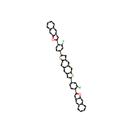 Fc1cc(-c2cc3cc4cc5sc(-c6ccc(-c7cc8cc9ccccc9cc8o7)c(F)c6)cc5cc4cc3s2)ccc1-c1cc2cc3ccccc3cc2o1